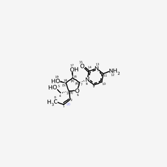 C/C=C\[C@]1(CO)O[C@@H](n2ccc(N)nc2=O)[C@H](O)[C@@H]1O